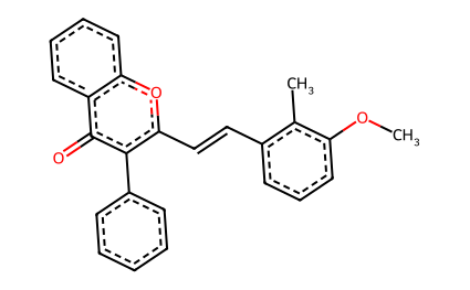 COc1cccc(/C=C/c2oc3ccccc3c(=O)c2-c2ccccc2)c1C